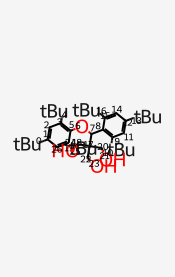 CC(C)(C)c1cc(C(C)(C)C)c(OC(c2c(C(C)(C)C)cc(C(C)(C)C)cc2C(C)(C)C)C(CO)(CO)CO)c(C(C)(C)C)c1